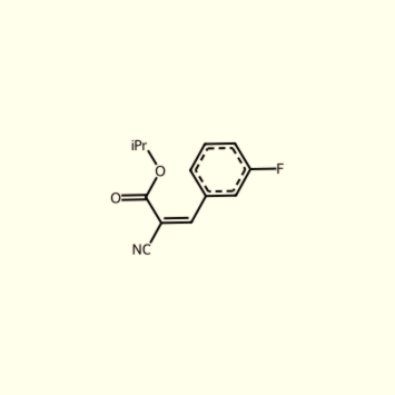 CC(C)OC(=O)C(C#N)=Cc1cccc(F)c1